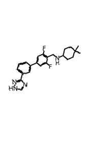 CC1(C)CCC(NCc2c(F)cc(-c3cccc(-c4nc[nH]n4)c3)cc2F)CC1